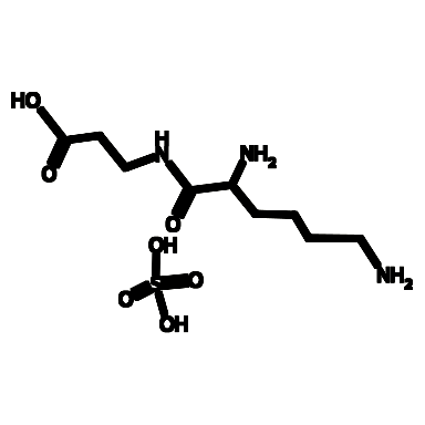 NCCCCC(N)C(=O)NCCC(=O)O.O=S(=O)(O)O